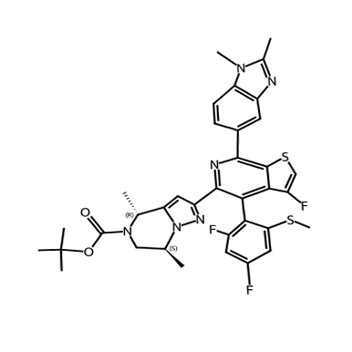 CSc1cc(F)cc(F)c1-c1c(-c2cc3n(n2)[C@@H](C)CN(C(=O)OC(C)(C)C)[C@@H]3C)nc(-c2ccc3c(c2)nc(C)n3C)c2scc(F)c12